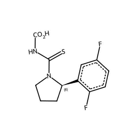 O=C(O)NC(=S)N1CCC[C@@H]1c1cc(F)ccc1F